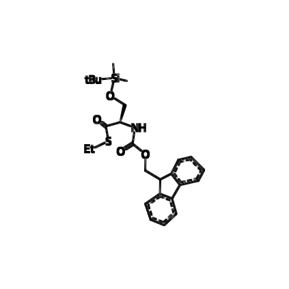 CCSC(=O)[C@@H](CO[Si](C)(C)C(C)(C)C)NC(=O)OCC1c2ccccc2-c2ccccc21